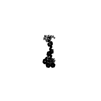 CN(C)Cc1c(OC[C@@H]2CCCC[C@H]2CC(C)(C)[Si](O)(c2ccccc2)c2ccccc2)ccc2c(CCC3CCN(C(=O)OC(C)(C)C)CC3)noc12